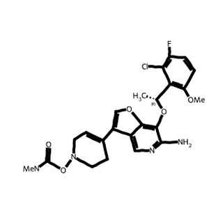 CNC(=O)ON1CC=C(c2coc3c(O[C@H](C)c4c(OC)ccc(F)c4Cl)c(N)ncc23)CC1